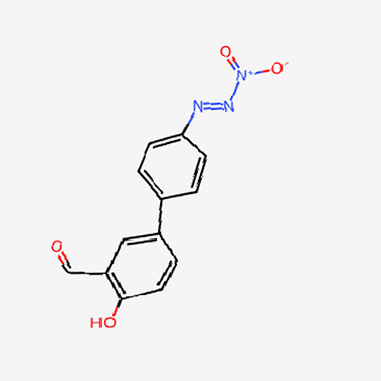 O=Cc1cc(-c2ccc(N=N[N+](=O)[O-])cc2)ccc1O